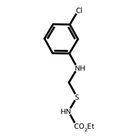 CCOC(=O)NSCNc1cccc(Cl)c1